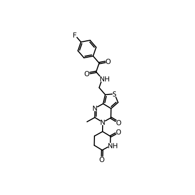 Cc1nc2c(CNC(=O)C(=O)c3ccc(F)cc3)scc2c(=O)n1C1CCC(=O)NC1=O